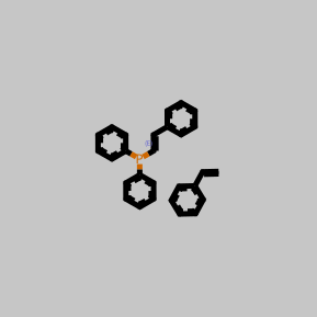 C(=C\P(c1ccccc1)c1ccccc1)/c1ccccc1.C=Cc1ccccc1